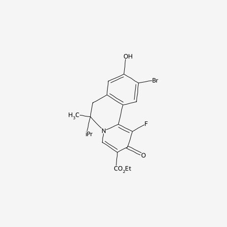 CCOC(=O)c1cn2c(c(F)c1=O)-c1cc(Br)c(O)cc1CC2(C)C(C)C